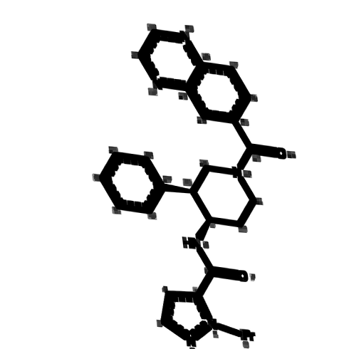 CC(C)n1nccc1C(=O)N[C@@H]1CCN(C(=O)c2ccc3nccnc3c2)C[C@@H]1c1ccccc1